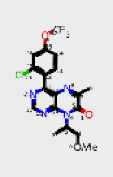 COCC(C)n1c(=O)c(C)nc2c(-c3ccc(OC(F)(F)F)cc3Cl)ncnc21